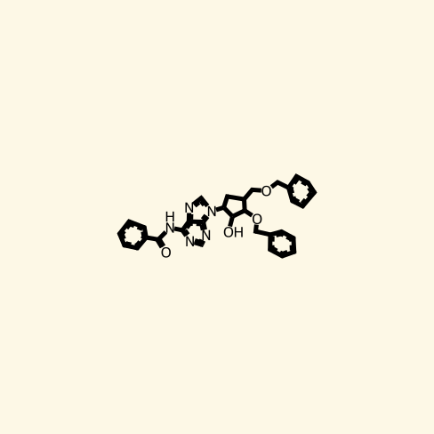 O=C(Nc1ncnc2c1ncn2C1CC(COCc2ccccc2)C(OCc2ccccc2)C1O)c1ccccc1